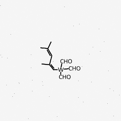 CC(C)=CC(C)=[CH][W]([CH]=O)([CH]=O)[CH]=O